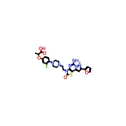 CC(Oc1ccc(N2CCN(CCn3c(=O)sc4c3nc(N)n3nc(-c5ccco5)cc43)CC2)c(F)c1)C(=O)O